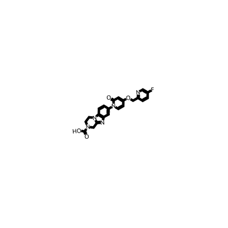 O=C(O)N1CCn2c(nc3cc(-n4ccc(OCc5ccc(F)cn5)cc4=O)ccc32)C1